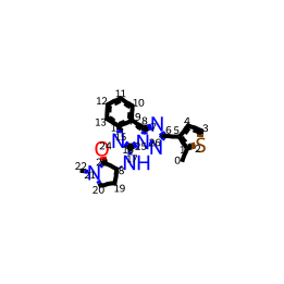 Cc1sccc1-c1nc2c3ccccc3nc(N[C@@H]3CCN(C)C3=O)n2n1